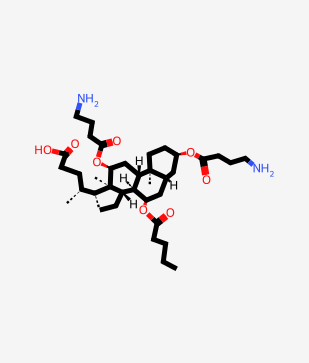 CCCCC(=O)O[C@@H]1C[C@@H]2C[C@H](OC(=O)CCCN)CC[C@]2(C)[C@H]2C[C@H](OC(=O)CCCN)[C@]3(C)[C@@H]([C@H](C)CCC(=O)O)CC[C@H]3[C@H]12